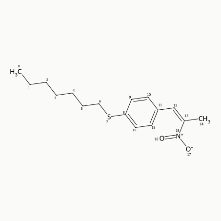 CCCCCCCSc1ccc(C=C(C)[N+](=O)[O-])cc1